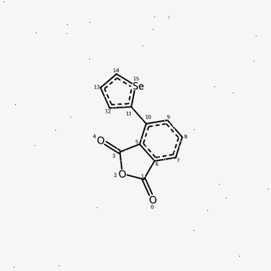 O=C1OC(=O)c2c1cccc2-c1ccc[se]1